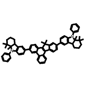 CC1(C)c2cc(-c3ccc4c(c3)C3CCCC(C)(C)C3(C)N4c3ccccc3)ccc2-c2c1c1ccc(-c3ccc4c(c3)C3CCCC(C)(C)C3(C)N4c3ccccc3)cc1c1ccccc21